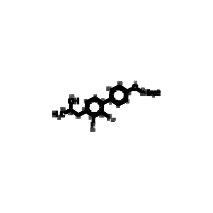 CCCCCCCOc1ccc(-c2ccc(CC(C)O)c(F)c2F)cc1